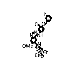 CCN(Cc1nc(-c2cc3c(Nc4ccc(OCc5cccc(F)c5)c(Cl)c4)ncnc3cc2OC)cs1)S(=O)(=O)CC